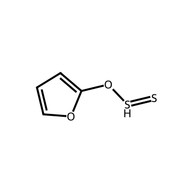 S=[SH]Oc1ccco1